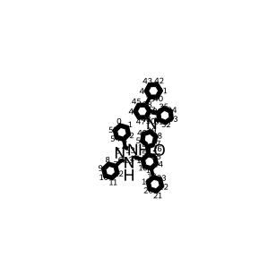 c1ccc(C2=NC(c3ccccc3)NC(c3cc(-c4ccccc4)cc4oc5cc(-n6c7ccccc7c7c(-c8ccccc8)cccc76)ccc5c34)N2)cc1